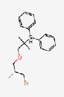 C[C@@H](CBr)COCC(C)(C)[SiH](c1ccccc1)c1ccccc1